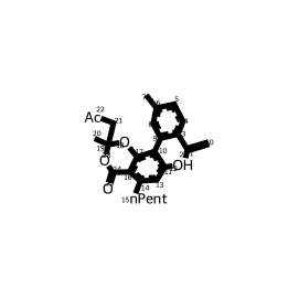 C=C(C)c1ccc(C)cc1-c1c(O)cc(CCCCC)c2c1OC(C)(CC(C)=O)OC2=O